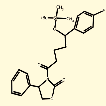 CC(C)(C)[Si](C)(C)OC(CCCC(=O)N1C(=O)OCC1c1ccccc1)c1ccc(F)cc1